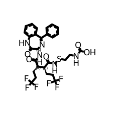 O=C(O)NCCSNC(=O)[C@@H](CCC(F)(F)F)[C@@H](CCC(F)(F)F)C(=O)N[C@H]1N=C(c2ccccc2)c2ccccc2NC1=O